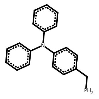 PCc1ccc(N(c2ccccc2)c2ccccc2)cc1